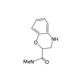 CNC(=O)C1CNc2ccccc2O1